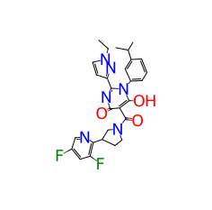 CCn1ccc(-c2nc(=O)c(C(=O)N3CCC(c4ncc(F)cc4F)C3)c(O)n2-c2cccc(C(C)C)c2)n1